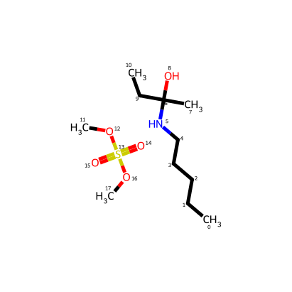 CCCCCNC(C)(O)CC.COS(=O)(=O)OC